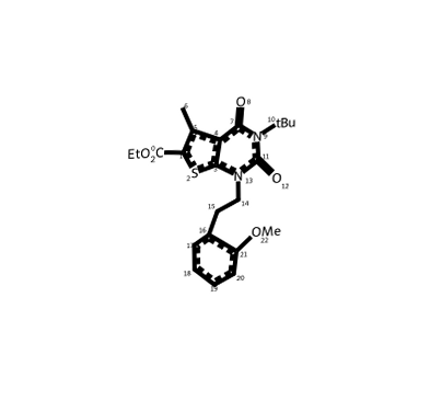 CCOC(=O)c1sc2c(c1C)c(=O)n(C(C)(C)C)c(=O)n2CCc1ccccc1OC